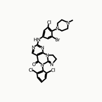 CN1CCN(c2c(Cl)cc(Nc3ncc4c(n3)N3CCN=C3N(c3c(Cl)cccc3Cl)C4=O)cc2Br)CC1